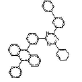 C1=CC(c2nc(-c3cccc(-c4ccccc4)c3)nc(-c3cccc(-c4c5ccccc5c(-c5ccccc5)c5ccccc45)c3)n2)=CCC1